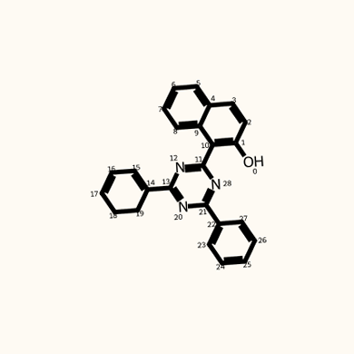 Oc1ccc2ccccc2c1-c1nc(C2=CC=CCC2)nc(-c2ccccc2)n1